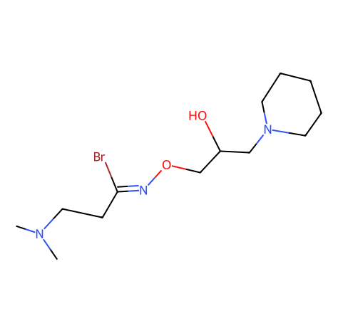 CN(C)CCC(Br)=NOCC(O)CN1CCCCC1